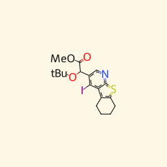 COC(=O)C(OC(C)(C)C)c1cnc2sc3c(c2c1I)CCCC3